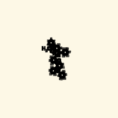 C[Si]1(C)c2ccccc2-c2ccc3c(-c4ccccc4)nc(-c4cccc5c4oc4ccc6c(c7ccccc7n6-c6ccccc6)c45)nc3c21